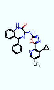 O=C1Nc2ccccc2C(c2ccccc2)=N[C@@H]1Nc1nnc(-c2ncc(C(F)(F)F)cc2C2CC2)o1